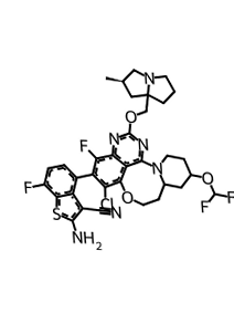 C[C@H]1CN2CCCC2(COc2nc3c4c(c(Cl)c(-c5ccc(F)c6sc(N)c(C#N)c56)c(F)c4n2)OCCC2CC(OC(F)F)CCN32)C1